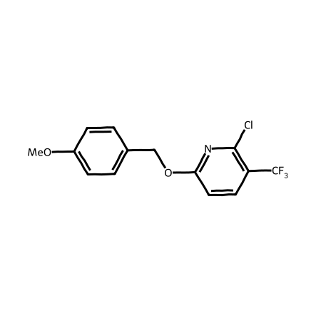 COc1ccc(COc2ccc(C(F)(F)F)c(Cl)n2)cc1